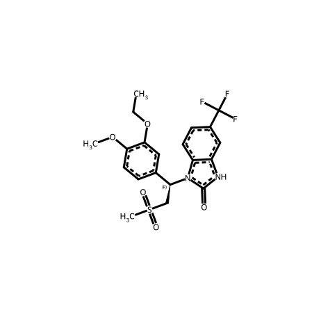 CCOc1cc([C@H](CS(C)(=O)=O)n2c(=O)[nH]c3cc(C(F)(F)F)ccc32)ccc1OC